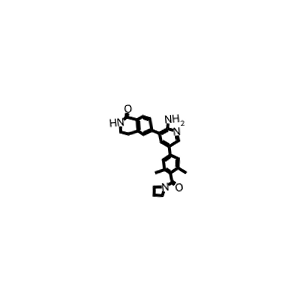 Cc1cc(-c2cnc(N)c(-c3ccc4c(c3)CCNC4=O)c2)cc(C)c1C(=O)N1CCC1